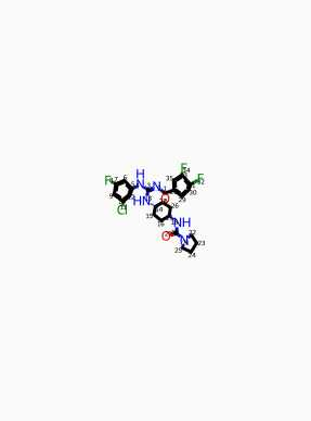 O=C(/N=C(/Nc1cc(F)cc(Cl)c1)N[C@H]1CC[C@H](NC(=O)N2CCCC2)CC1)c1ccc(F)c(F)c1